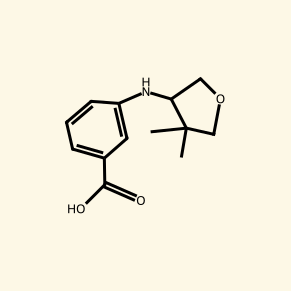 CC1(C)COCC1Nc1cccc(C(=O)O)c1